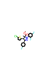 COC(=O)C1(C)C(c2ccc(Cl)s2)C(c2ccc(F)cc2)=NN1c1ccc(F)cc1F